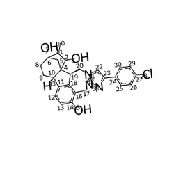 C=C1C(O)C23C[C@@]1(O)CC[C@H]2c1ccc(O)c(C)c1[C@@H]3Cn1cc(-c2ccc(Cl)cc2)nn1